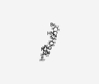 Brc1cccc(Nc2ncc(-c3ccc(Oc4ncnc5c4ncn5CC4CC4)cc3)s2)c1